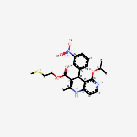 CSCCOC(=O)C1=C(C)Nc2ccnc(OC(C)C)c2C1c1cccc([N+](=O)[O-])c1